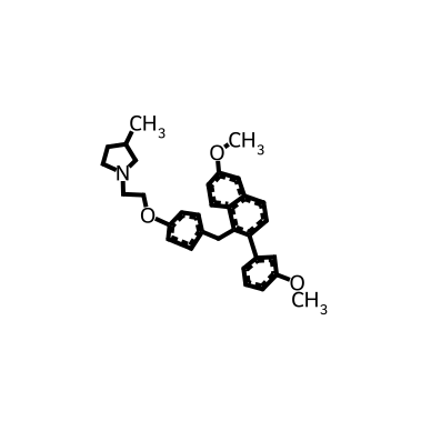 COc1cccc(-c2ccc3cc(OC)ccc3c2Cc2ccc(OCCN3CCC(C)C3)cc2)c1